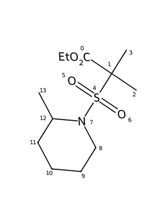 CCOC(=O)C(C)(C)S(=O)(=O)N1CCCCC1C